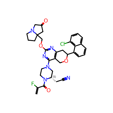 C=C(F)C(=O)N1CCN(c2nc(OCC34CCCN3CC(=O)C4)nc3c2COC(c2cccc4cccc(Cl)c24)C3)C[C@@H]1CC#N